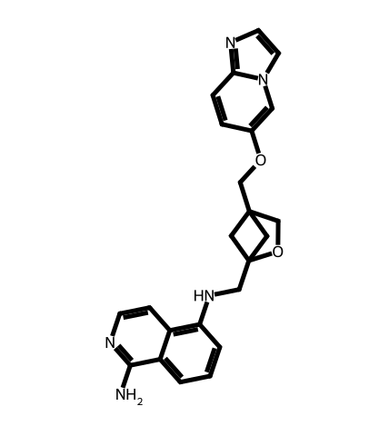 Nc1nccc2c(NCC34CC(COc5ccc6nccn6c5)(CO3)C4)cccc12